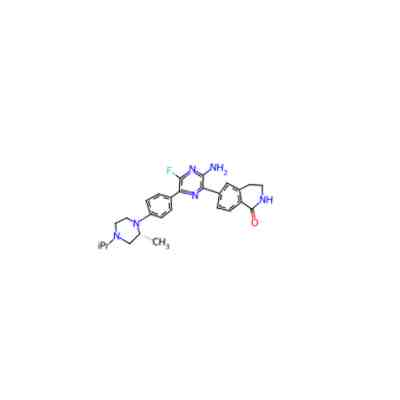 CC(C)N1CCN(c2ccc(-c3nc(-c4ccc5c(c4)CCNC5=O)c(N)nc3F)cc2)[C@H](C)C1